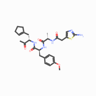 COc1ccc(C[C@H](NC(=O)[C@H](C)NC(=O)Cc2cnc(N)s2)C(=O)N[C@@H](CC2=CCCC2)C(C)=O)cc1